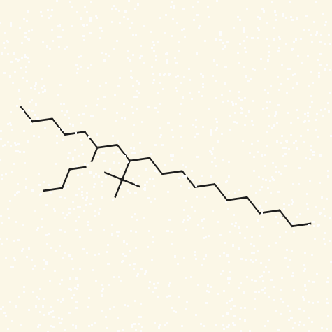 CCCCCCCCCCCC(CC(CCCCC)SCCC)C(C)(C)C